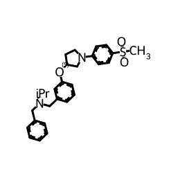 CC(C)N(Cc1ccccc1)Cc1cccc(O[C@H]2CCN(c3ccc(S(C)(=O)=O)cc3)C2)c1